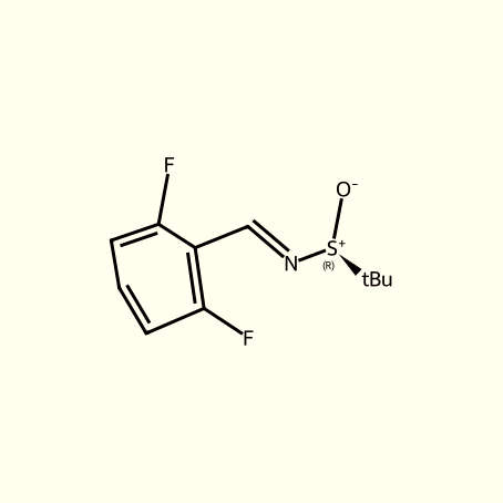 CC(C)(C)[S@+]([O-])N=Cc1c(F)cccc1F